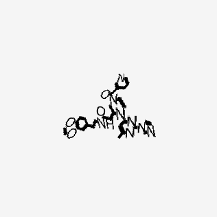 Cc1cc(N2CCN(C(=O)c3cccnc3)CC2CC(=O)NCCc2ccc3c(c2)OCCO3)nc(-n2ccnc2)n1